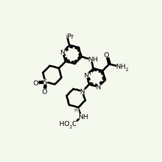 CC(C)c1cc(Nc2nc(N3CCC[C@H](NC(=O)O)C3)ncc2C(N)=O)cc(C2CCS(=O)(=O)CC2)n1